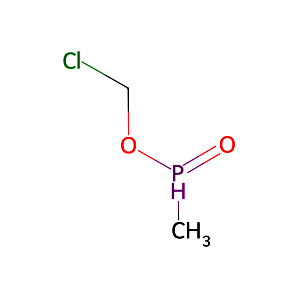 C[PH](=O)OCCl